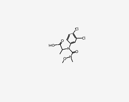 CON(C)C(=O)N(c1ccc(Cl)c(Cl)c1)C(C)C(=O)O